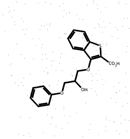 O=C(O)c1sc2ccccc2c1OCC(O)COc1ccccc1